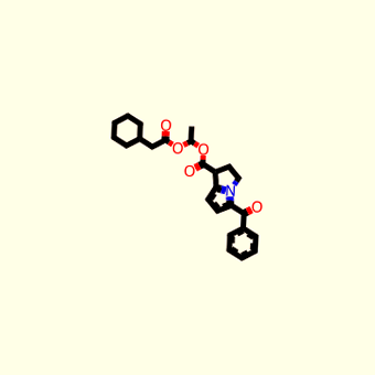 CC(OC(=O)CC1CCCCC1)OC(=O)C1CCn2c(C(=O)c3ccccc3)ccc21